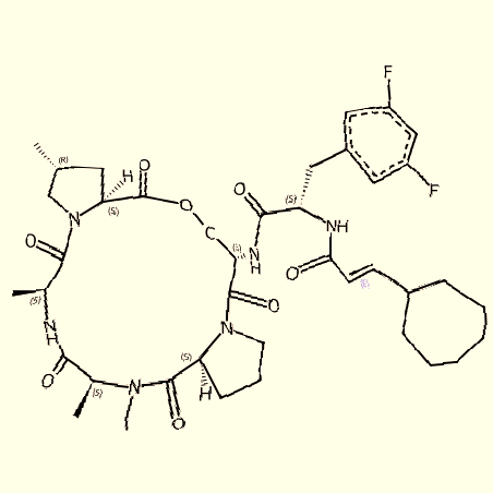 C[C@@H]1C[C@H]2C(=O)OC[C@H](NC(=O)[C@H](Cc3cc(F)cc(F)c3)NC(=O)/C=C/C3CCCCCC3)C(=O)N3CCC[C@H]3C(=O)N(C)[C@@H](C)C(=O)N[C@@H](C)C(=O)N2C1